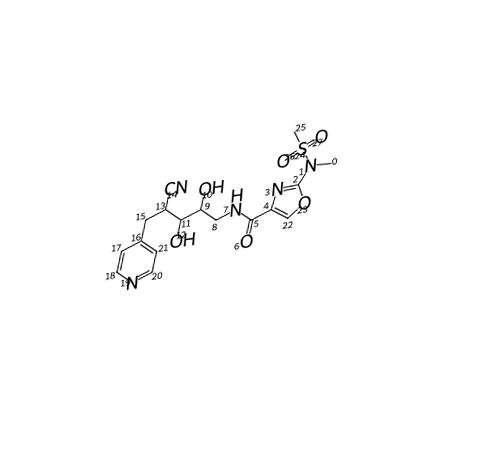 CN(c1nc(C(=O)NCC(O)C(O)C(C#N)Cc2ccncc2)co1)S(C)(=O)=O